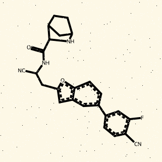 N#Cc1ccc(-c2ccc3oc(CC(C#N)NC(=O)C4NC5CCC4C5)cc3c2)cc1F